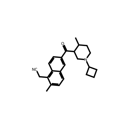 Cc1ccc2cc(C(=O)C3CN(C4CCC4)CCC3C)ccc2c1CC#N